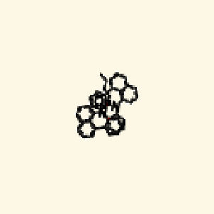 CCCCP1(=O)N(c2cccc3cccc(-c4ccccc4)c23)c2ccccc2N1c1cccc2cccc(-c3ccccc3)c12